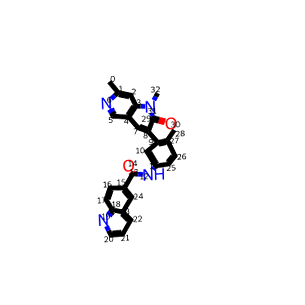 Cc1cc2c(cn1)cc(-c1cc(NC(=O)c3ccc4ncccc4c3)ccc1C)c(=O)n2C